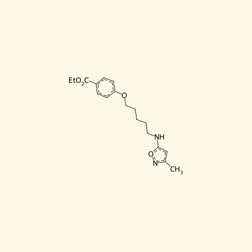 CCOC(=O)c1ccc(OCCCCCNc2cc(C)no2)cc1